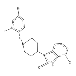 O=c1[nH]c2c(Cl)cccc2n1C1CCN(Cc2ccc(Br)cc2F)CC1